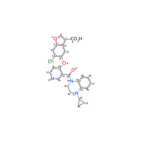 O=C(O)c1coc2cc(Cl)c(Oc3ccncc3C(=O)N3CCN(C4CC4)c4ccccc43)cc12